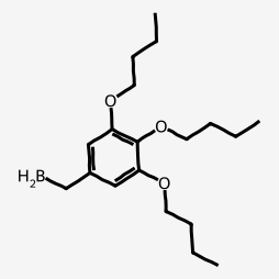 BCc1cc(OCCCC)c(OCCCC)c(OCCCC)c1